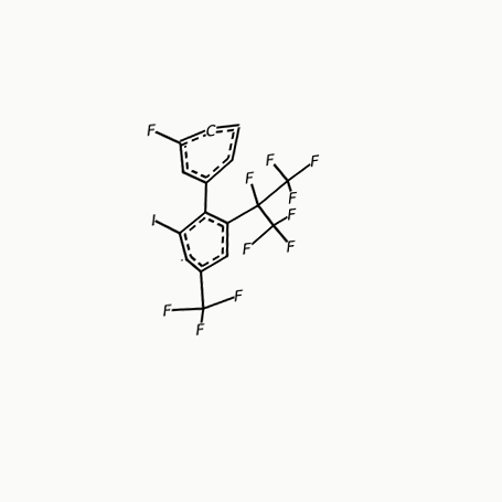 Fc1cccc(-c2c(I)[c]c(C(F)(F)F)cc2C(F)(C(F)(F)F)C(F)(F)F)c1